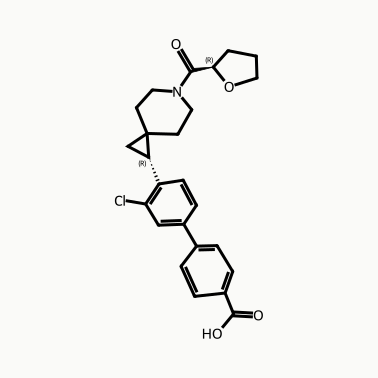 O=C(O)c1ccc(-c2ccc([C@@H]3CC34CCN(C(=O)[C@H]3CCCO3)CC4)c(Cl)c2)cc1